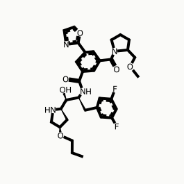 CCCO[C@H]1CN[C@@H]([C@@H](O)[C@H](Cc2cc(F)cc(F)c2)NC(=O)c2cc(C(=O)N3CCCC3COC)cc(-c3ncco3)c2)C1